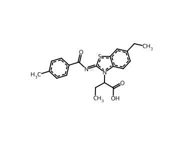 CCc1ccc2c(c1)s/c(=N\C(=O)c1ccc(C)cc1)n2C(CC)C(=O)O